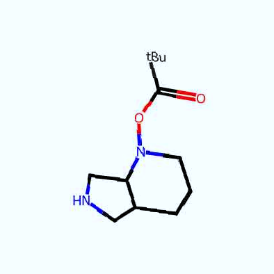 CC(C)(C)C(=O)ON1CCCC2CNCC21